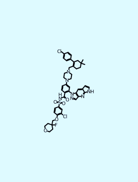 CC1(C)CCC(CN2CCN(c3ccc(C(=O)NS(=O)(=O)c4ccc(OCC5(F)CCOCC5)c(Cl)c4)c(-n4ncc5nc6[nH]ccc6cc54)c3)CC2)=C(c2ccc(Cl)cc2)C1